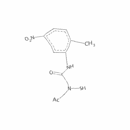 CC(=O)N(S)C(=O)Nc1cc([N+](=O)[O-])ccc1C